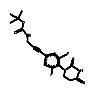 CC(C)(C)OC(=O)NCC#Cc1cc(F)c(N2CCC(=O)NC2=O)c(F)c1